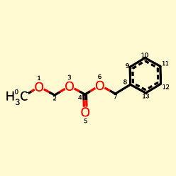 COCOC(=O)OCc1ccccc1